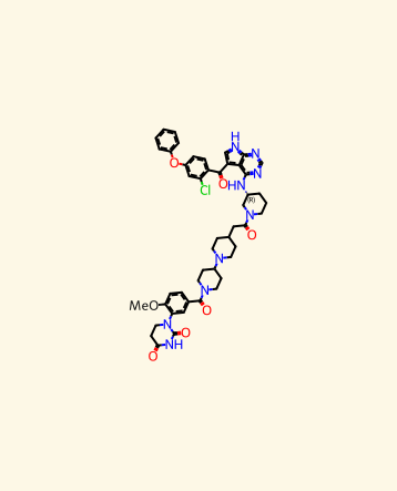 COc1ccc(C(=O)N2CCC(N3CCC(CC(=O)N4CCC[C@@H](Nc5ncnc6[nH]cc(C(=O)c7ccc(Oc8ccccc8)cc7Cl)c56)C4)CC3)CC2)cc1N1CCC(=O)NC1=O